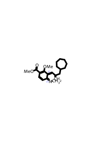 C=C(/C=C1/C(OC)=C(C(=O)OC)C=C/C1=N/C)CC1CCCCCC1